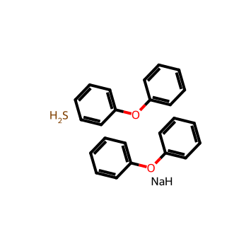 S.[NaH].c1ccc(Oc2ccccc2)cc1.c1ccc(Oc2ccccc2)cc1